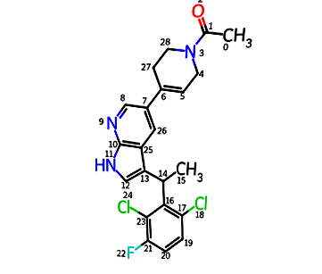 CC(=O)N1CC=C(c2cnc3[nH]cc(C(C)c4c(Cl)ccc(F)c4Cl)c3c2)CC1